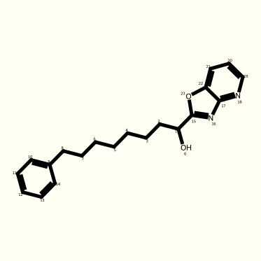 OC(CCCCCCCc1ccccc1)c1nc2ncccc2o1